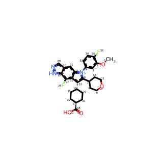 COc1cc(-n2c(C3CCOCC3)c([C@H]3CC[C@H](C(=O)O)CC3)c3c(F)c4[nH]ncc4cc32)ccc1F